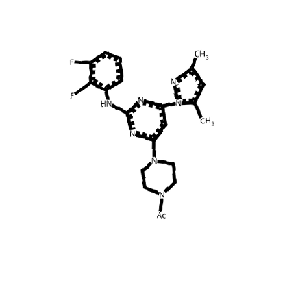 CC(=O)N1CCN(c2cc(-n3nc(C)cc3C)nc(Nc3cccc(F)c3F)n2)CC1